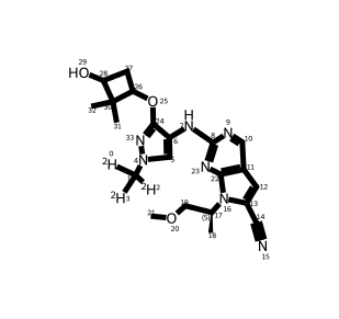 [2H]C([2H])([2H])n1cc(Nc2ncc3cc(C#N)n([C@@H](C)COC)c3n2)c(OC2CC(O)C2(C)C)n1